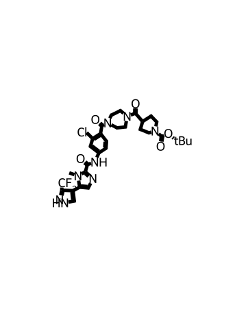 Cn1c(-c2c[nH]nc2C(F)(F)F)cnc1C(=O)Nc1ccc(C(=O)N2CCN(C(=O)C3CCN(C(=O)OC(C)(C)C)CC3)CC2)c(Cl)c1